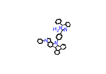 N/C(=N\c1ccccc1Cc1ccccc1)c1ccc(N2c3c(ccc4c3ccn4-c3ccccc3)C3=c4ccccc4=C4C=CC=CC4C32)cc1